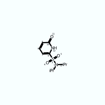 CC(C)N(C(C)C)S(=O)(=O)c1cccc(=O)[nH]1